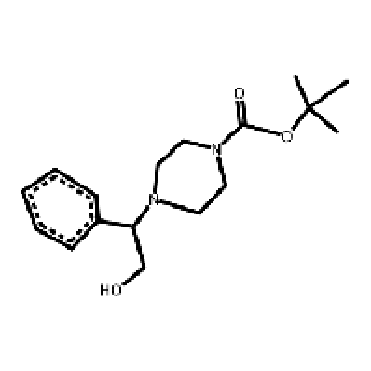 CC(C)(C)OC(=O)N1CCN(C(CO)c2ccccc2)CC1